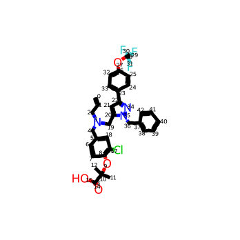 C=CCN(Cc1ccc(OC(C)(C)C(=O)O)c(Cl)c1)Cc1cc(-c2ccc(OC(F)(F)F)cc2)nn1Cc1ccccc1